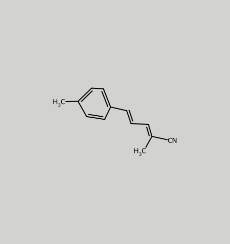 CC(C#N)=CC=Cc1ccc(C)cc1